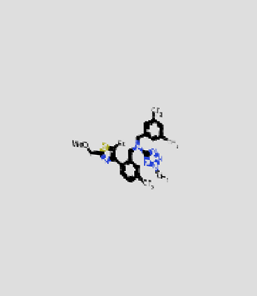 CCc1sc(COC)nc1-c1ccc(C(F)(F)F)cc1CN(Cc1cc(C(F)(F)F)cc(C(F)(F)F)c1)c1nnn(C)n1